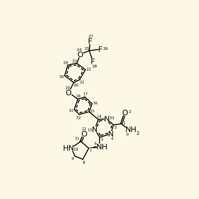 NC(=O)c1nc(N[C@H]2CCNC2=O)nc(-c2ccc(Oc3ccc(OC(F)(F)F)cc3)cc2)n1